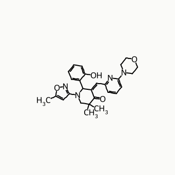 Cc1cc(N2CC(C)(C)C(=O)/C(=C\c3cccc(N4CCOCC4)n3)C2c2ccccc2O)no1